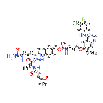 COc1cc2ncnc(Nc3ccc(F)c(Cl)c3)c2cc1OCCCNC(=O)OCc1ccc(NC(=O)[C@H](CCCNC(N)=O)NC(=O)[C@@H](NC(=O)CCC(=O)C(C)C)C(C)C)cc1